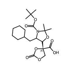 CC(C)(C)OC(=O)N1C(CC2CCCCC2)C([C@@]2(C(=O)O)COC(=O)O2)OC1(C)C